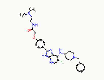 CN(C)CCNC(=O)COc1ccc(-c2nc3c(NC4CCN(Cc5ccccc5)CC4)c(Cl)cnc3[nH]2)cc1